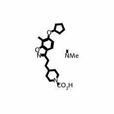 CNC.Cc1c(OC2CCCC2)ccc2c(CCC3CCN(C(=O)O)CC3)noc12